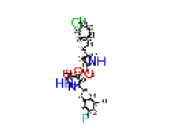 Cc1cc(F)cc(CCc2cc(OC(=O)c3cc(CCc4ccc(Cl)cc4)c[nH]3)c(=O)[nH]n2)c1